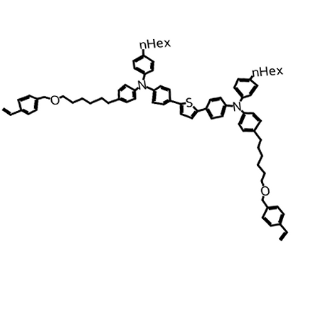 C=Cc1ccc(COCCCCCCc2ccc(N(c3ccc(CCCCCC)cc3)c3ccc(-c4ccc(-c5ccc(N(c6ccc(CCCCCC)cc6)c6ccc(CCCCCCOCc7ccc(C=C)cc7)cc6)cc5)s4)cc3)cc2)cc1